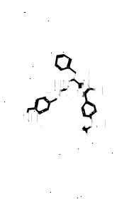 COC(=O)Nc1ccc(-c2nc([C@H](Cc3ccccc3)NC(=O)NCc3ccc(CN)cc3)[nH]c2Cl)cc1